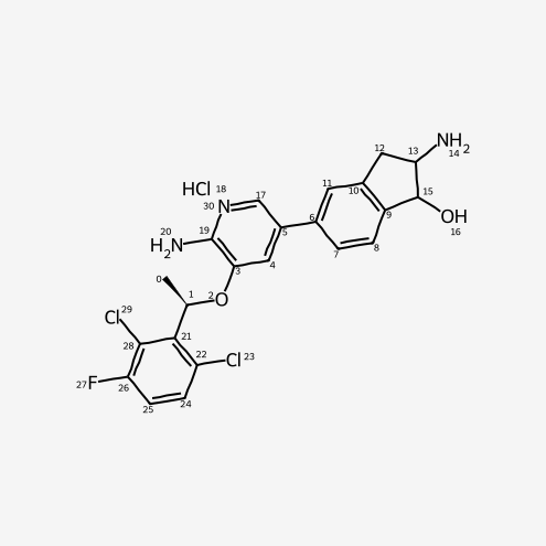 C[C@@H](Oc1cc(-c2ccc3c(c2)CC(N)C3O)cnc1N)c1c(Cl)ccc(F)c1Cl.Cl